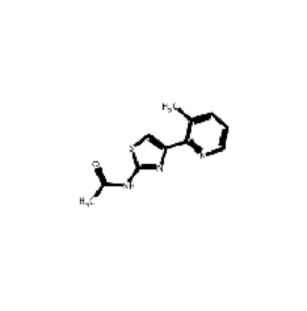 CC(=O)Nc1nc(-c2ncccc2C)cs1